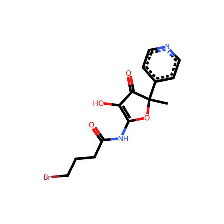 CC1(c2ccncc2)OC(NC(=O)CCCBr)=C(O)C1=O